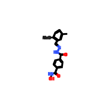 COc1ccc(C)cc1/C=N/NC(=O)c1ccc(C(=O)NO)cc1